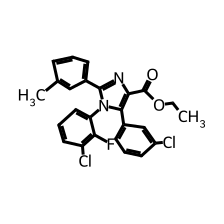 CCOC(=O)c1nc(-c2cccc(C)c2)n(-c2cccc(Cl)c2F)c1-c1cccc(Cl)c1